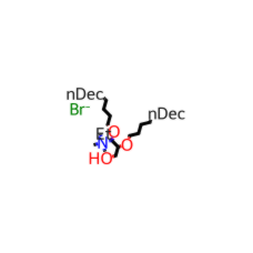 CCCCCCCCCCCCCCOC(CO)C(OCCCCCCCCCCCCCC)[N+](C)(C)CC.[Br-]